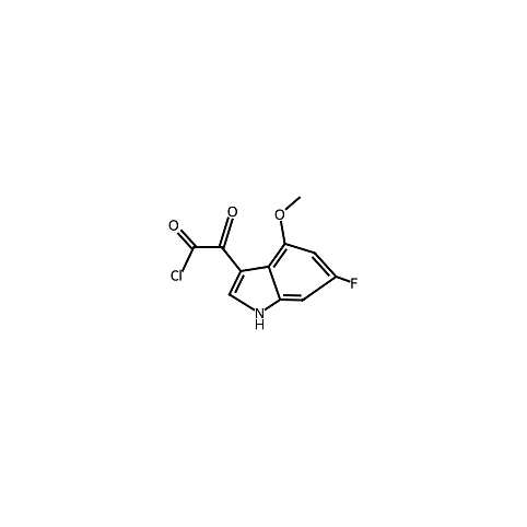 COc1cc(F)cc2[nH]cc(C(=O)C(=O)Cl)c12